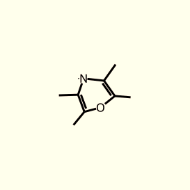 CC1=C(C)OC(C)=C(C)[N]1